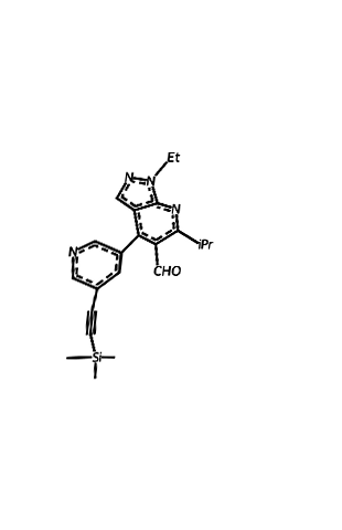 CCn1ncc2c(-c3cncc(C#C[Si](C)(C)C)c3)c(C=O)c(C(C)C)nc21